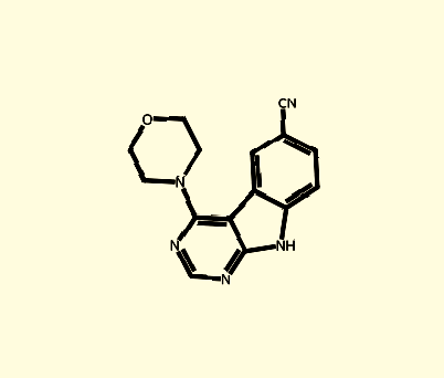 N#Cc1ccc2[nH]c3ncnc(N4CCOCC4)c3c2c1